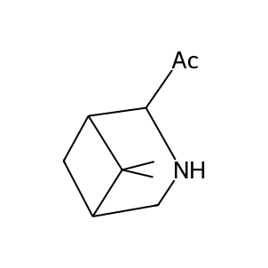 CC(=O)C1NCC2CC1C2(C)C